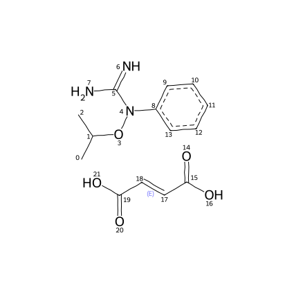 CC(C)ON(C(=N)N)c1ccccc1.O=C(O)/C=C/C(=O)O